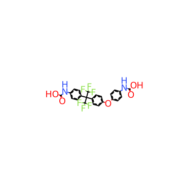 O=C(O)Nc1ccc(Oc2ccc(C(c3ccc(NC(=O)O)cc3)(C(F)(F)F)C(F)(F)F)cc2)cc1